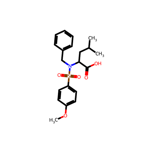 COc1ccc(S(=O)(=O)N(Cc2ccccc2)C(CC(C)C)C(=O)O)cc1